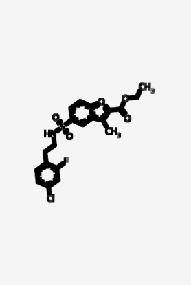 CCOC(=O)c1oc2ccc(S(=O)(=O)NCCc3ccc(Cl)cc3F)cc2c1C